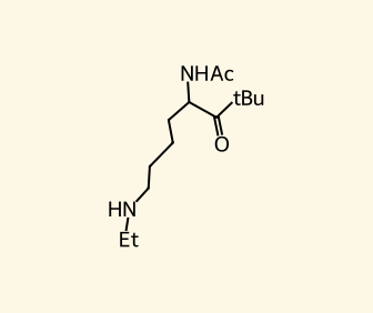 CCNCCCCC(NC(C)=O)C(=O)C(C)(C)C